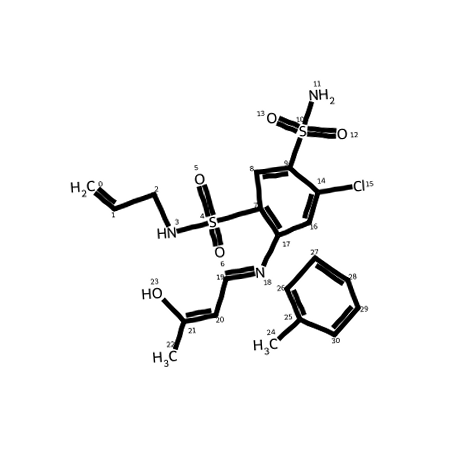 C=CCNS(=O)(=O)c1cc(S(N)(=O)=O)c(Cl)cc1/N=C/C=C(/C)O.Cc1ccccc1